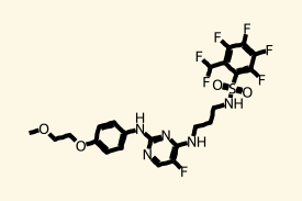 COCCOc1ccc(Nc2ncc(F)c(NCCCNS(=O)(=O)c3c(F)c(F)c(F)c(F)c3C(F)F)n2)cc1